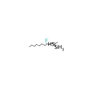 CCCCCCCC(F)CC[SiH](C)[SiH3]